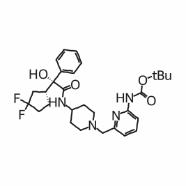 CC(C)(C)OC(=O)Nc1cccc(CN2CCC(NC(=O)[C@](O)(c3ccccc3)[C@@H]3CCC(F)(F)C3)CC2)n1